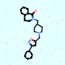 O=c1c2ccccc2ccn1CC1CCN(Cc2cc(-c3ccccc3)no2)CC1